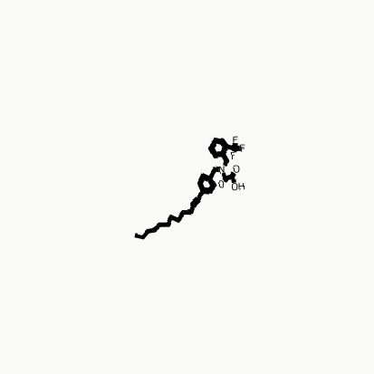 CCCCCCCCCCC#Cc1ccc(CN(Cc2ccccc2C(F)(F)F)C(=O)C(=O)O)cc1